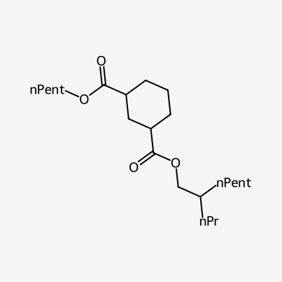 CCCCCOC(=O)C1CCCC(C(=O)OCC(CCC)CCCCC)C1